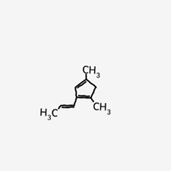 CC=CC1=C(C)CC(C)=C1